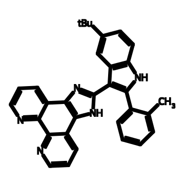 Cc1ccccc1-c1[nH]c2ccc(C(C)(C)C)cc2c1-c1nc2c3cccnc3c3ncccc3c2[nH]1